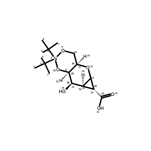 CC(C)(C)[Si]1(C(C)(C)C)OC[C@H]2OC3[C@H]([C@@H](O)[C@H]2O1)[C@H]3C(=O)O